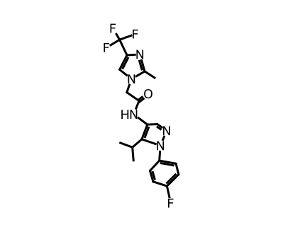 Cc1nc(C(F)(F)F)cn1CC(=O)Nc1cnn(-c2ccc(F)cc2)c1C(C)C